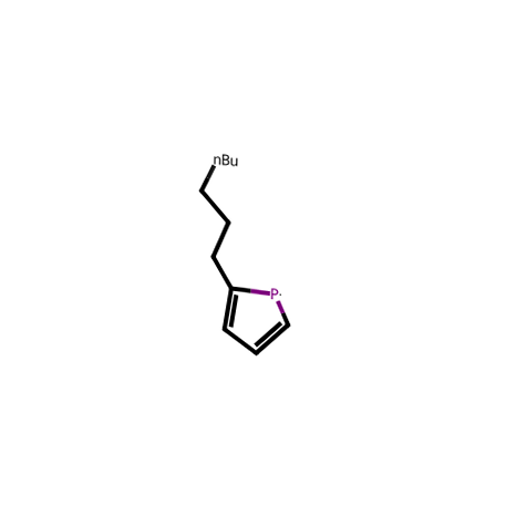 CCCCCCCC1=CC=C[P]1